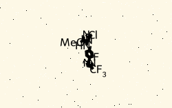 COc1cnc(Cl)nc1NCc1ccc(-c2nc(C(F)(F)F)cn2C)c(F)c1